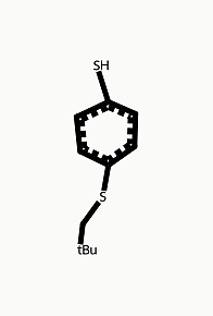 CC(C)(C)CSc1ccc(S)cc1